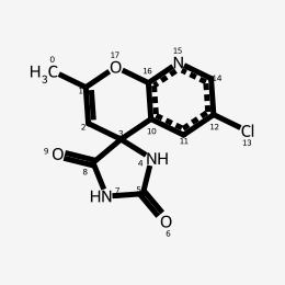 CC1=CC2(NC(=O)NC2=O)c2cc(Cl)cnc2O1